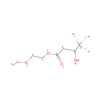 CCOCCOC(=O)CC(O)C(F)(F)F